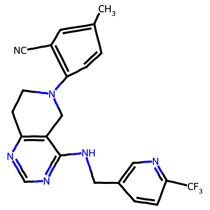 Cc1ccc(N2CCc3ncnc(NCc4ccc(C(F)(F)F)nc4)c3C2)c(C#N)c1